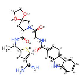 C[C@@H](NC(=O)[C@@H]1CC2(CN1C(=O)CNC(=O)c1ccc3c(c1)[nH]c1ccccc13)OCCO2)c1cc(C(=N)N)cs1